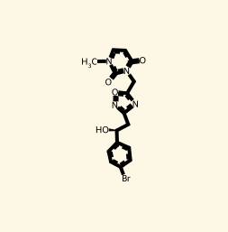 Cn1ccc(=O)n(Cc2nc(C[C@H](O)c3ccc(Br)cc3)no2)c1=O